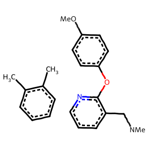 CNCc1cccnc1Oc1ccc(OC)cc1.Cc1ccccc1C